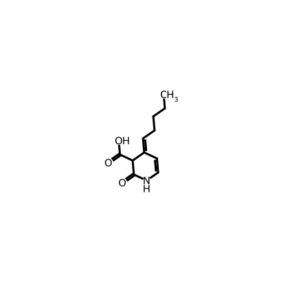 CCCCC=C1C=CNC(=O)C1C(=O)O